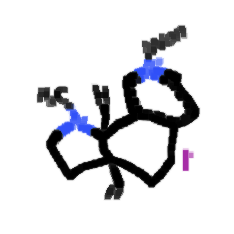 CCCCCCCCC[n+]1ccc2c(c1)[C@@H]1[C@H](CC2)CCN1C.[I-]